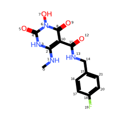 CNc1[nH]c(=O)n(O)c(=O)c1C(=O)NCc1ccc(F)cc1